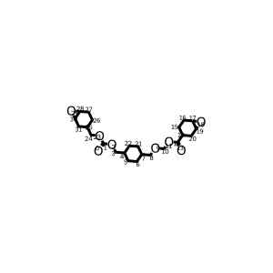 O=C(OCC1CCC(COCOC(=O)C2CCC3OC3C2)CC1)OCC1CCC2OC2C1